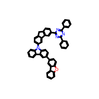 c1ccc(-c2nc(-c3ccccc3)nc(-c3ccc4c(c3)-c3cc(-n5c6ccccc6c6cc(-c7ccc8oc9ccccc9c8c7)ccc65)ccc3C4)n2)cc1